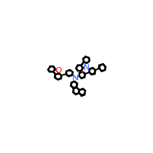 c1ccc(-c2ccc(-c3ccc(N(c4cccc(-c5cccc6c5oc5ccccc56)c4)c4ccc5ccc6ccccc6c5c4)cc3)c(-n3c4ccccc4c4ccccc43)c2)cc1